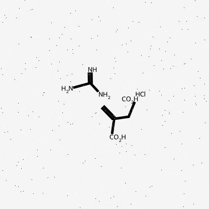 C=C(CC(=O)O)C(=O)O.Cl.N=C(N)N